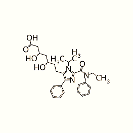 CCN(C(=O)c1nc(-c2ccccc2)c(CC[C@@H](O)C[C@@H](O)CC(=O)O)n1C(C)C)c1ccccc1